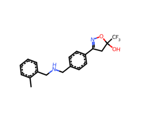 Cc1ccccc1CNCc1ccc(C2=NOC(O)(C(F)(F)F)C2)cc1